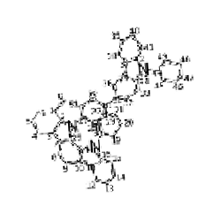 C=Cc1c(/C=C\C)c2ccc3c4ccccc4n(-c4ccccc4)c3c2n1-c1ccc(-c2ccc3c(c2)c2ccccc2n3-c2ccccc2)cc1